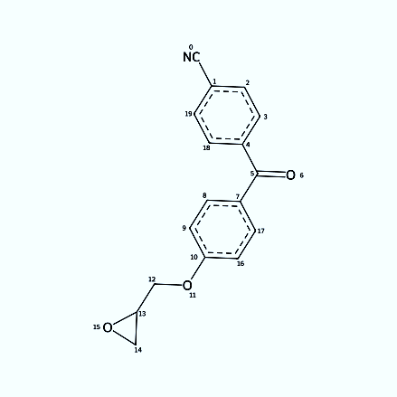 N#Cc1ccc(C(=O)c2ccc(OCC3CO3)cc2)cc1